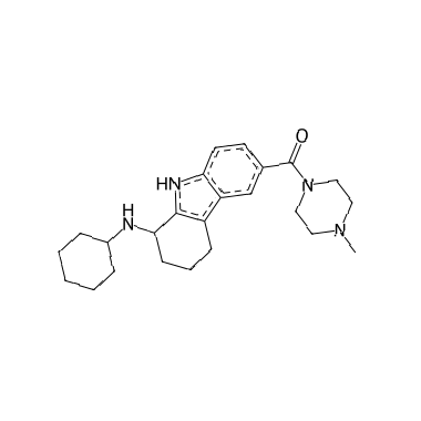 CN1CCN(C(=O)c2ccc3[nH]c4c(c3c2)CCCC4NC2CCCCC2)CC1